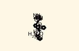 CC(N)S(=O)(=O)c1c(C#Cc2cccc3nc([C@@H](C)NC(=O)c4c(N)nn5cccnc45)n(-c4ccccc4)c(=O)c23)cnn1C